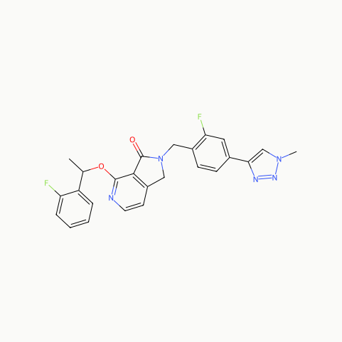 CC(Oc1nccc2c1C(=O)N(Cc1ccc(-c3cn(C)nn3)cc1F)C2)c1ccccc1F